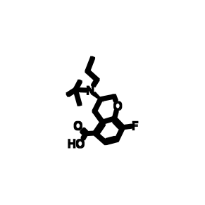 CCCN([C@H]1COc2c(F)ccc(C(=O)O)c2C1)C(C)(C)C